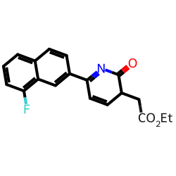 CCOC(=O)CC1C=CC(c2ccc3cccc(F)c3c2)=NC1=O